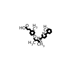 Cc1cc(OCC(C)c2nc(-c3ccc(-c4ccccc4C)nc3)sc2C)ccc1CCC(=O)O